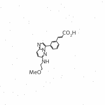 COCCNc1ccc2ncc(-c3cccc(/C=C/C(=O)O)c3)n2n1